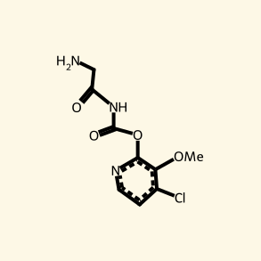 COc1c(Cl)ccnc1OC(=O)NC(=O)CN